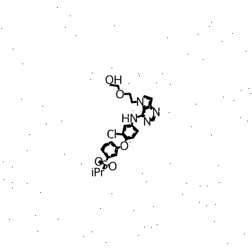 CC(C)S(=O)(=O)c1cccc(Oc2ccc(Nc3ncnc4ccn(CCOCCO)c34)cc2Cl)c1